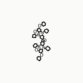 c1ccc(Oc2cc3c4c(c2)N(c2ccccc2)c2cc5oc6cc7c(cc6c5cc2B4c2ccccc2O3)B2c3ccccc3Oc3cc(Oc4ccccc4)cc(c32)N7c2ccccc2)cc1